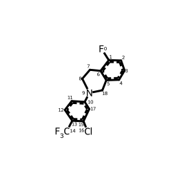 Fc1cccc2c1CCN(c1ccc(C(F)(F)F)c(Cl)c1)C2